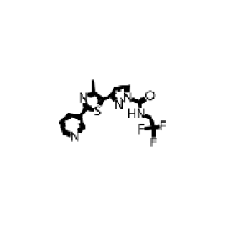 Cc1nc(-c2cccnc2)sc1-c1ccn(C(=O)NCC(F)(F)F)n1